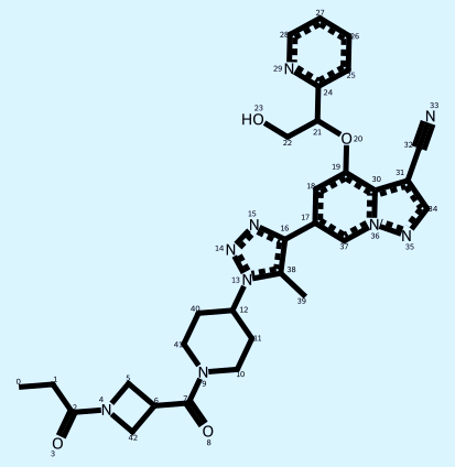 CCC(=O)N1CC(C(=O)N2CCC(n3nnc(-c4cc(OC(CO)c5ccccn5)c5c(C#N)cnn5c4)c3C)CC2)C1